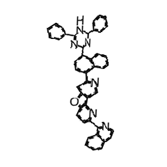 c1ccc(C2=NC(c3ccc(-c4cc5oc6ccc(-c7nccc8ccccc78)nc6c5cn4)c4ccccc34)=NC(c3ccccc3)N2)cc1